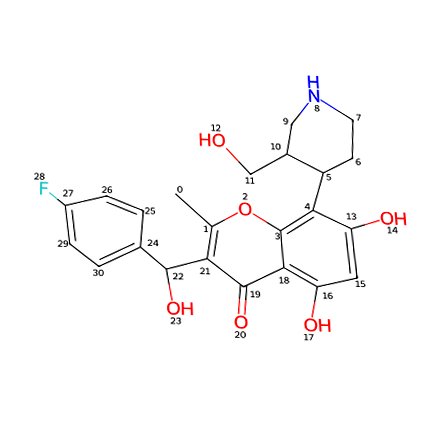 Cc1oc2c(C3CCNCC3CO)c(O)cc(O)c2c(=O)c1C(O)c1ccc(F)cc1